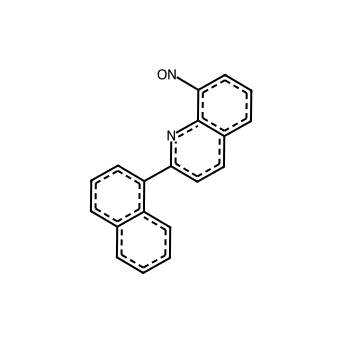 O=Nc1cccc2ccc(-c3cccc4ccccc34)nc12